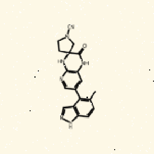 Cc1ccc2[nH]ncc2c1-c1cnc2c(c1)NC(=O)C1(CCN(C#N)C1)N2